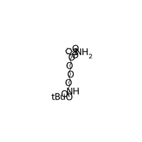 CC(C)(C)OC(=O)NCCOCCOCCOCCOc1ccccc1S(N)(=O)=O